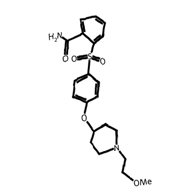 COCCN1CCC(Oc2ccc(S(=O)(=O)c3ccccc3C(N)=O)cc2)CC1